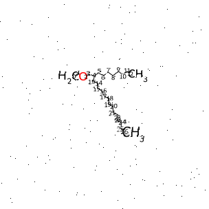 C=COCC(CCCCCCCC)CCCCCCCCCCCCCC